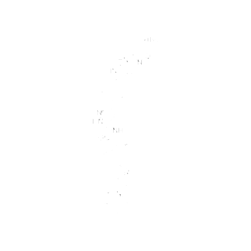 Cc1c(-c2ccc(NC(=O)Nc3cc(C(C)(C)C)on3)cc2)n[nH]c1NC(=O)c1ccc(OCCN2CCCC2)cc1